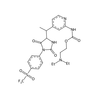 CCN(CC)CCOC(=O)Nc1cc(C(C)C2NC(=O)N(c3ccc(S(=O)(=O)C(F)(F)F)cc3)C2=O)ccn1